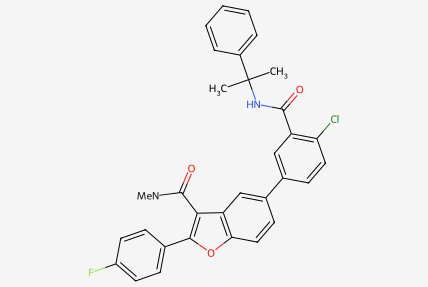 CNC(=O)c1c(-c2ccc(F)cc2)oc2ccc(-c3ccc(Cl)c(C(=O)NC(C)(C)c4ccccc4)c3)cc12